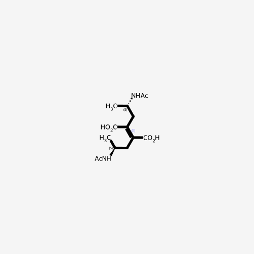 CC(=O)N[C@@H](C)C/C(C(=O)O)=C(/C[C@H](C)NC(C)=O)C(=O)O